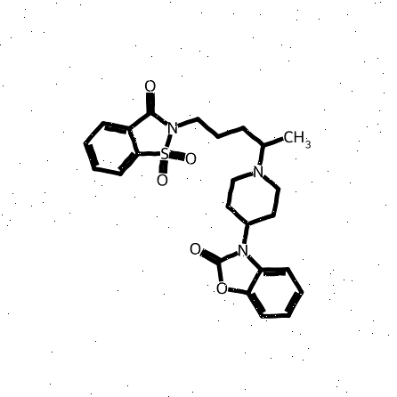 CC(CCCN1C(=O)c2ccccc2S1(=O)=O)N1CCC(n2c(=O)oc3ccccc32)CC1